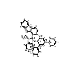 Cc1ccc2c(oc3ccccc32)c1-c1n(C2CC=C(C3C=CC=CC3)C=C2c2ccccc2)c2c([n+]1C)C=CCC2